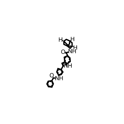 O=C(Nc1ccc(-c2cc3cc(C(=O)NC4C5C[C@H]6C[C@@H](C5)C[C@@H]4C6)ccc3[nH]2)cc1)c1ccccc1